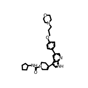 O=C(NC1CCCC1)N1CC=C(c2c[nH]c3ncc(-c4ccc(OCCCN5CCOCC5)cc4)cc23)CC1